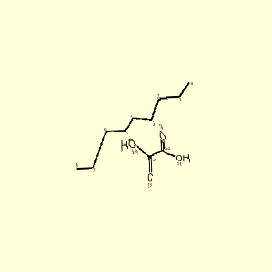 CCCCCCCCC.O=C(O)C(=O)O